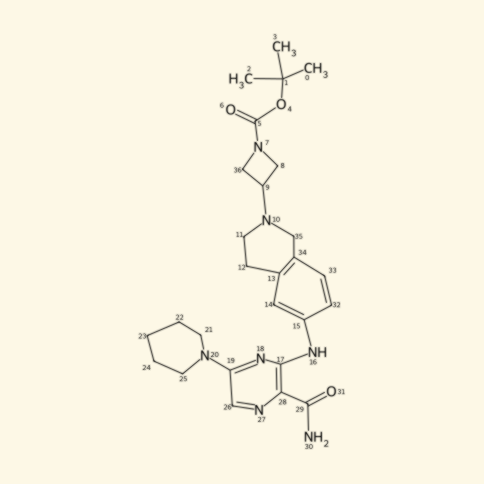 CC(C)(C)OC(=O)N1CC(N2CCc3cc(Nc4nc(N5CCCCC5)cnc4C(N)=O)ccc3C2)C1